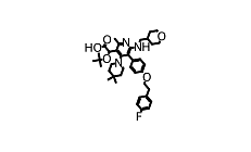 Cc1nc(NCC2CCOCC2)c(-c2ccc(OCCc3ccc(F)cc3)cc2)c(N2CCC(C)(C)CC2)c1C(OC(C)(C)C)C(=O)O